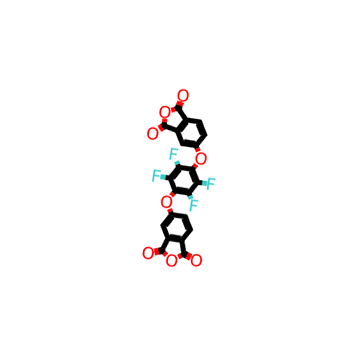 O=C1OC(=O)c2cc(Oc3c(F)c(F)c(Oc4ccc5c(c4)C(=O)OC5=O)c(F)c3F)ccc21